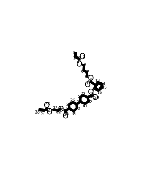 C=CC(=O)OCCCCOC(=O)c1ccccc1OC(=O)C1CCC(C2CCC(C(=O)OCCOC(=O)C=C)CC2)CC1